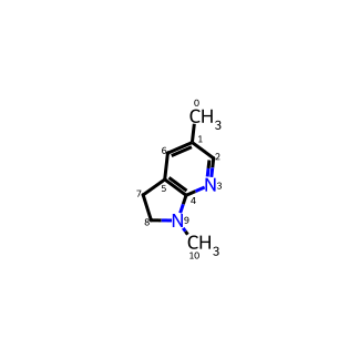 Cc1cnc2c(c1)CCN2C